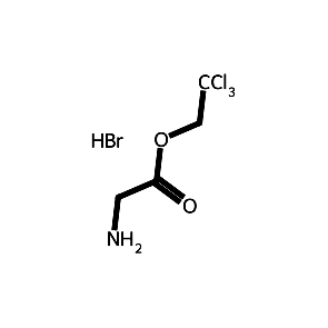 Br.NCC(=O)OCC(Cl)(Cl)Cl